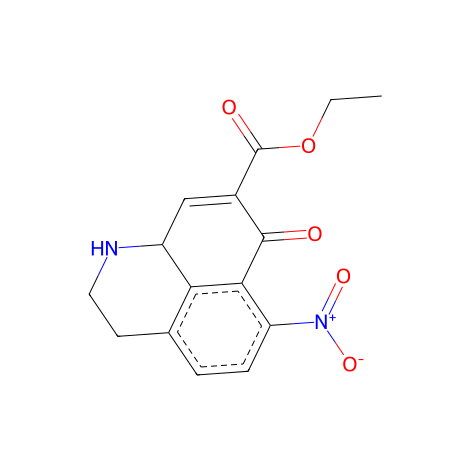 CCOC(=O)C1=CC2NCCc3ccc([N+](=O)[O-])c(c32)C1=O